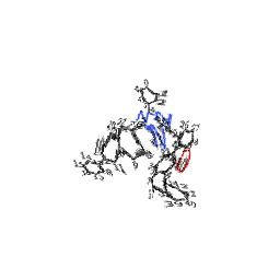 C1=CCC(c2nc(-c3ccc4cc(-c5ccccc5)ccc4c3)nc(-c3cccc4oc5c(ccc6ccc7ccccc7c65)c34)n2)C=C1